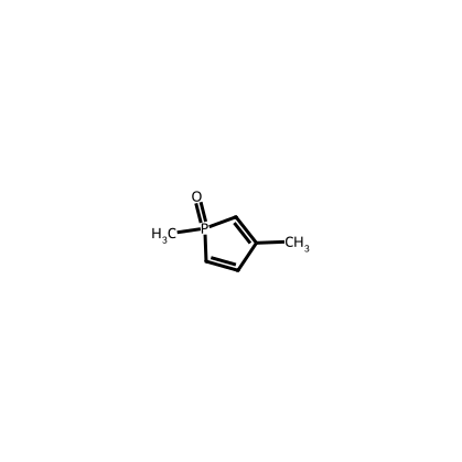 CC1=CP(C)(=O)C=C1